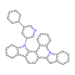 c1ccc(-c2cncc(-n3c4ccccc4c4ccc5c(c6ccccc6n6c7ccccc7cc56)c43)c2)cc1